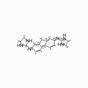 C1=CC2=C3C=CC(=NC4NCCN4)C=C3CC2=CC1=NC1NCCN1